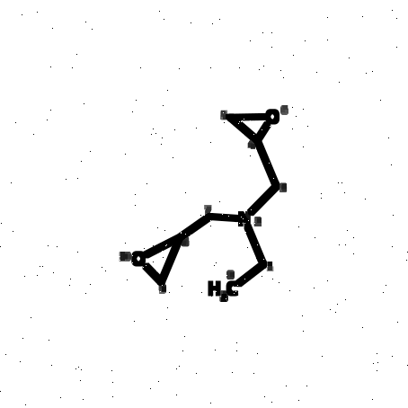 CCN(CC1CO1)CC1CO1